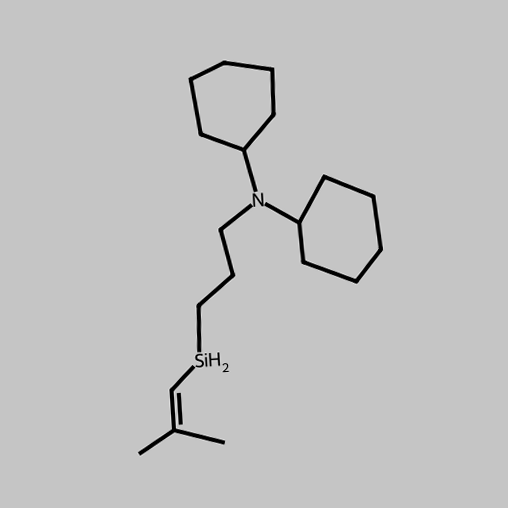 CC(C)=C[SiH2]CCCN(C1CCCCC1)C1CCCCC1